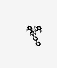 Fc1ccccc1-c1cnc(N2CCC(N3CCCCC3)CC2)nc1NCc1c(F)cccc1F